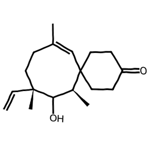 C=C[C@]1(C)CC/C(C)=C\C2(CCC(=O)CC2)[C@@H](C)C1O